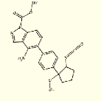 CC(C)(C)OC(=O)n1ncc2c(N)c(-c3ccc(C4(OC(C)(C)C)CCCC4N=C=O)cc3)ccc21